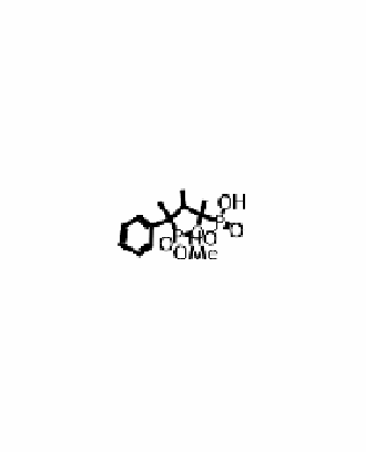 COP1(=O)OC(C)(P(=O)(O)O)C(C)C1(C)c1ccccc1